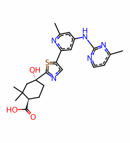 Cc1cc(Nc2nccc(C)n2)cc(-c2cnc([C@@]3(O)CC[C@@H](C(=O)O)C(C)(C)C3)s2)n1